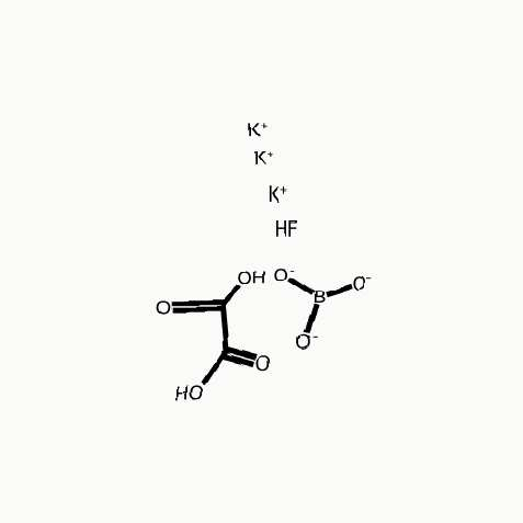 F.O=C(O)C(=O)O.[K+].[K+].[K+].[O-]B([O-])[O-]